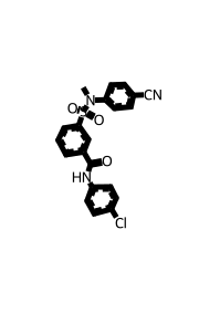 CN(c1ccc(C#N)cc1)S(=O)(=O)c1cccc(C(=O)Nc2ccc(Cl)cc2)c1